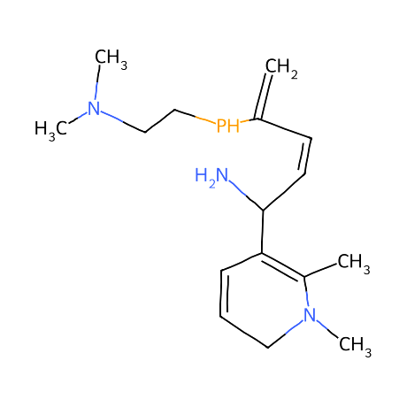 C=C(/C=C\C(N)C1=C(C)N(C)CC=C1)PCCN(C)C